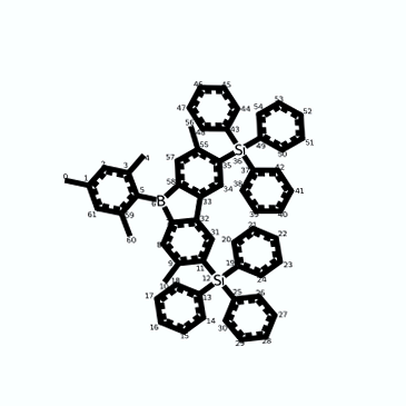 Cc1cc(C)c(B2c3cc(C)c([Si](c4ccccc4)(c4ccccc4)c4ccccc4)cc3-c3cc([Si](c4ccccc4)(c4ccccc4)c4ccccc4)c(C)cc32)c(C)c1